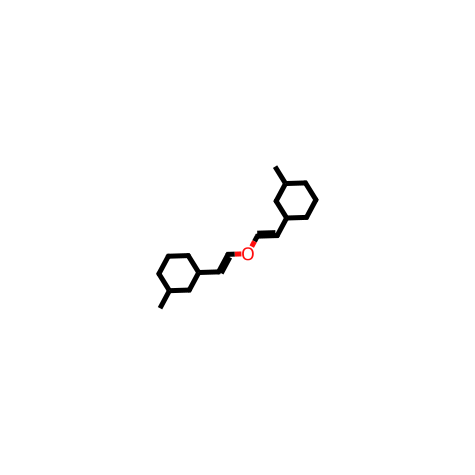 CC1CCCC(C=COC=CC2CCCC(C)C2)C1